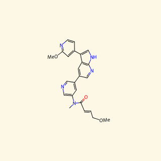 COC/C=C/C(=O)N(C)c1cncc(-c2cnc3[nH]cc(-c4ccnc(OC)c4)c3c2)c1